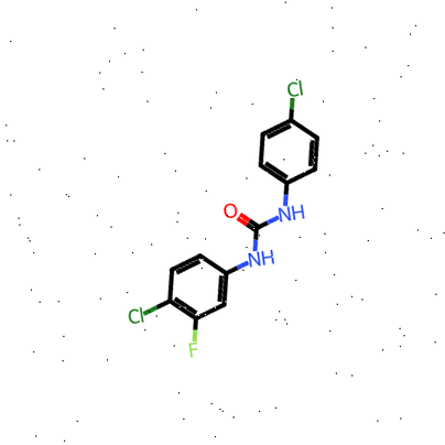 O=C(Nc1ccc(Cl)cc1)Nc1ccc(Cl)c(F)c1